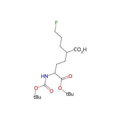 CC(C)(C)OC(=O)NC(CCC(CCCF)C(=O)O)C(=O)OC(C)(C)C